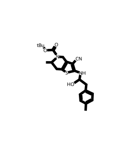 Cc1ccc(CC(O)Nc2sc3c(c2C#N)CN(C(=O)OC(C)(C)C)C(C)C3)cc1